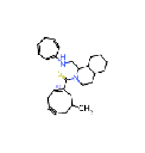 CC1CC#CC/C=C(/C(=S)N2CCC3CCCCC3C2CNC2=CC=CCC=C2)C1